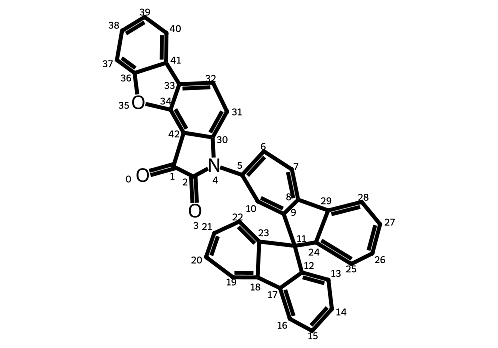 O=C1C(=O)N(c2ccc3c(c2)C2(c4ccccc4-c4ccccc42)c2ccccc2-3)c2ccc3c(oc4ccccc43)c21